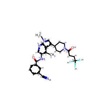 Cc1c(NC(=O)c2cccc(C#N)c2)cnc2c1c(C1CCN(C(=O)CCC(F)(F)F)CC1)cn2C